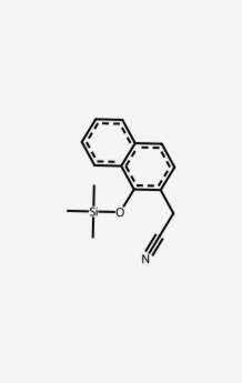 C[Si](C)(C)Oc1c(CC#N)ccc2ccccc12